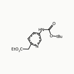 CCOC(=O)Cc1ccc(NC(=O)OC(C)(C)C)cn1